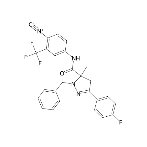 [C-]#[N+]c1ccc(NC(=O)C2(C)CC(c3ccc(F)cc3)=NN2Cc2ccccc2)cc1C(F)(F)F